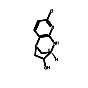 OC1CN2C[C@H]1Nc1nc(Cl)ccc12